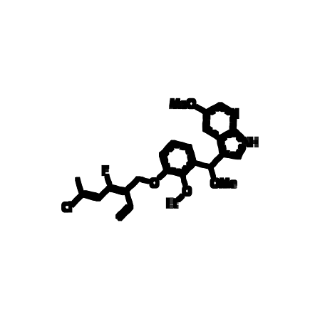 C=C/C(COc1cccc(C(OC)c2c[nH]c3ncc(OC)cc23)c1OCC)=C(F)\C=C(/C)Cl